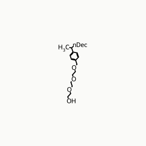 CCCCCCCCCCC(C)c1ccc(COCCOCCOCCO)cc1